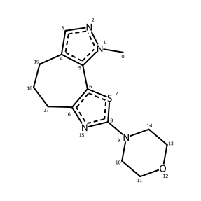 Cn1ncc2c1-c1sc(N3CCOCC3)nc1CCC2